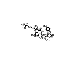 CC(C)[C@H](NC(=O)[C@H](CC(=O)O)NC(=O)[C@H](CCC(=O)O)NC(=O)[C@@H](N)CCCNC(=N)N)C(=O)N[C@@H](Cc1ccc(O)cc1)C(=O)O